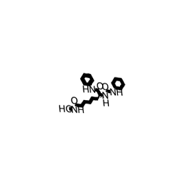 O=C(CCCCC[C@H](NC(=O)NC1CCCCC1)C(=O)Nc1ccccc1)NO